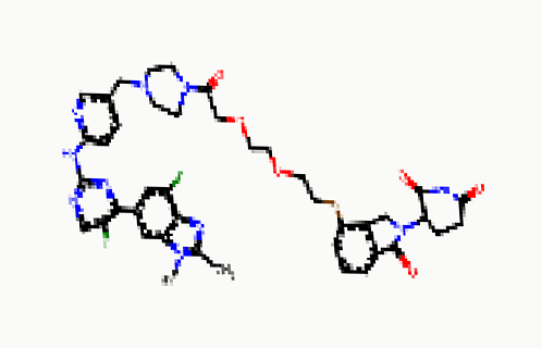 Cc1nc2c(F)cc(-c3nc(Nc4ccc(CN5CCN(C(=O)COCCOCCSc6cccc7c6CN(C6CCC(=O)NC6=O)C7=O)CC5)cn4)ncc3F)cc2n1C(C)C